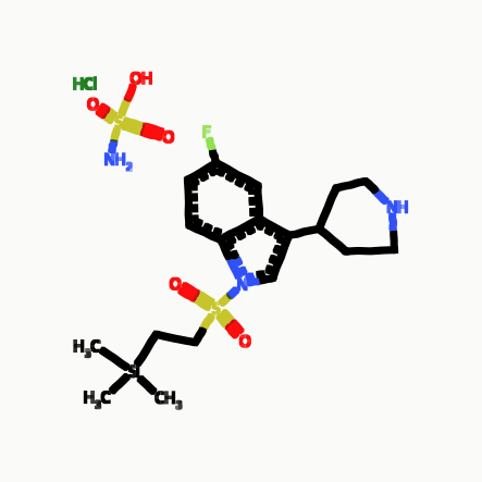 C[Si](C)(C)CCS(=O)(=O)n1cc(C2CCNCC2)c2cc(F)ccc21.Cl.NS(=O)(=O)O